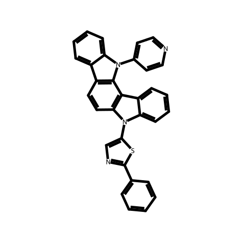 c1ccc(-c2ncc(-n3c4ccccc4c4c3ccc3c5ccccc5n(-c5ccncc5)c34)s2)cc1